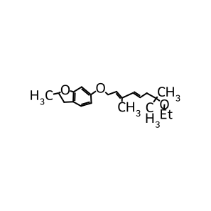 CCOC(C)(C)C/C=C/C(C)=C/COc1ccc2c(c1)OC(C)C2